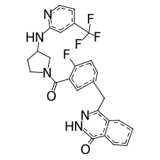 O=C(c1cc(Cc2n[nH]c(=O)c3ccccc23)ccc1F)N1CCC(Nc2cc(C(F)(F)F)ccn2)C1